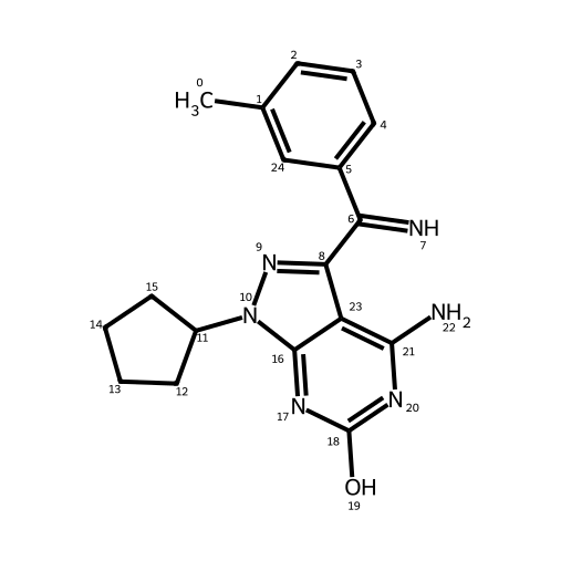 Cc1cccc(C(=N)c2nn(C3CCCC3)c3nc(O)nc(N)c23)c1